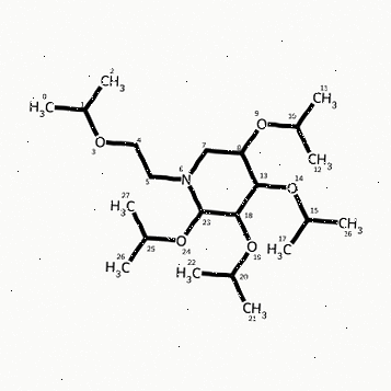 CC(C)OCCN1CC(OC(C)C)C(OC(C)C)C(OC(C)C)C1OC(C)C